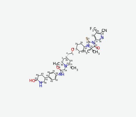 C[C@@H]1C[C@H](CCO[C@H]2CC[C@H](N3C(=S)N(c4cnc(C#N)c(C(F)(F)F)c4)C(=O)C3(C)C)CC2)C[C@H](C)N1CC(=O)Nc1ccc(C2CCC(O)NC2)cc1